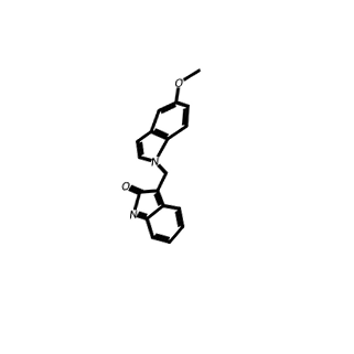 COc1ccc2c(ccn2CC2=c3ccccc3=NC2=O)c1